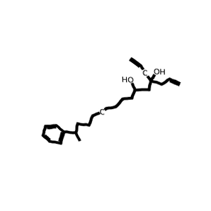 C=CCC(O)(CC=C)CC(O)CCCCCCCCC(C)c1ccccc1